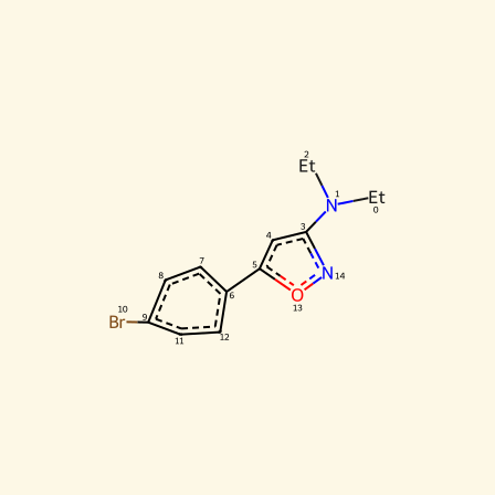 CCN(CC)c1cc(-c2ccc(Br)cc2)on1